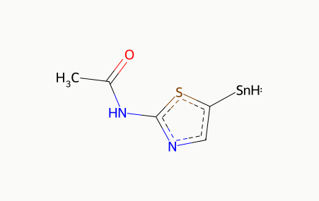 CC(=O)Nc1nc[c]([SnH])s1